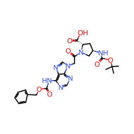 CC(C)(C)OC(=O)N[C@@H]1C[C@@H](C(=O)O)N(C(=O)Cn2cnc3c(NC(=O)OCc4ccccc4)ncnc32)C1